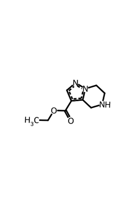 CCOC(=O)c1cnn2c1CNCC2